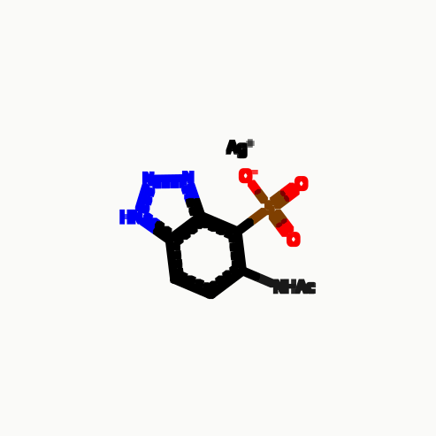 CC(=O)Nc1ccc2[nH]nnc2c1S(=O)(=O)[O-].[Ag+]